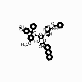 CCC(O[C@@H]1[C@H](O)[C@@H](COC(c2ccccc2)(c2ccc(OC)cc2)c2ccc(OC)cc2)O[C@H]1n1cnc2c(NC(=O)c3ccccc3)ncnc21)c1ccc2cc3ccccc3cc2c1